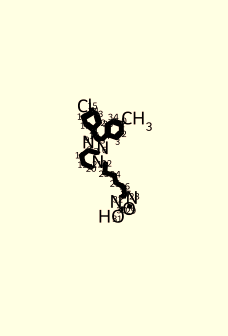 Cc1ccc(-c2nc3c(nc2-c2ccc(Cl)cc2)CCCN3CCCCCc2noc(O)n2)cc1